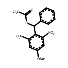 COc1cc([N+](=O)[O-])c(C(OC(=O)C(Cl)(Cl)Cl)c2ccccc2)c([N+](=O)[O-])c1